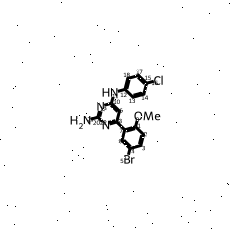 COc1ccc(Br)cc1-c1cc(Nc2ccc(Cl)cc2)nc(N)n1